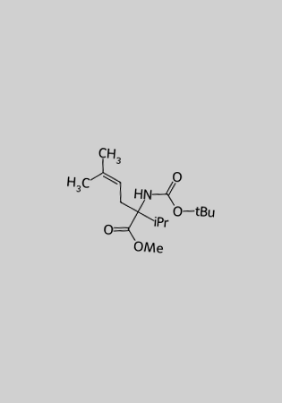 COC(=O)C(CC=C(C)C)(NC(=O)OC(C)(C)C)C(C)C